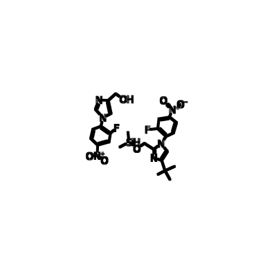 C[SiH](C)OCc1nc(C(C)(C)C)cn1-c1ccc([N+](=O)[O-])cc1F.O=[N+]([O-])c1ccc(-n2cnc(CO)c2)c(F)c1